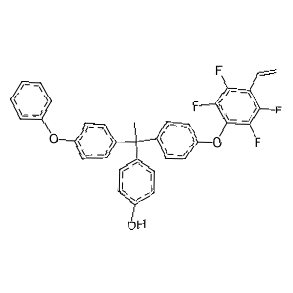 C=Cc1c(F)c(F)c(Oc2ccc(C(C)(c3ccc(O)cc3)c3ccc(Oc4ccccc4)cc3)cc2)c(F)c1F